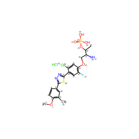 CC(C)Oc1ccc(-c2nnc(-c3cc(F)c(OCC(N)C(C)OP(=O)(O)O)cc3Cl)s2)cc1C#N.Cl